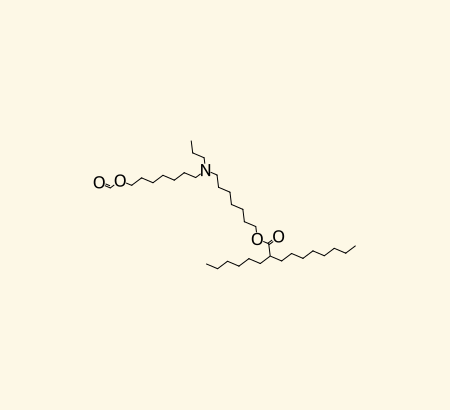 CCCCCCCCC(CCCCCC)C(=O)OCCCCCCCN(CCC)CCCCCCCOC=O